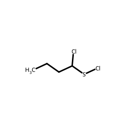 CCCC(Cl)SCl